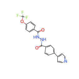 O=C(NNC(=O)c1ccc(-c2ccncc2)cc1)c1ccc(OC(F)(F)F)cc1